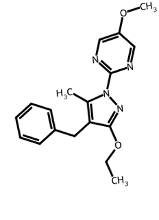 CCOc1nn(-c2ncc(OC)cn2)c(C)c1Cc1ccccc1